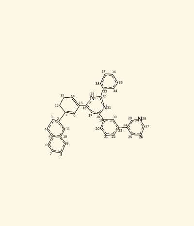 C1=C(c2ccc3ccccc3c2)CCC=C1c1cc(-c2cccc(-c3cccnc3)c2)nc(-c2ccccc2)n1